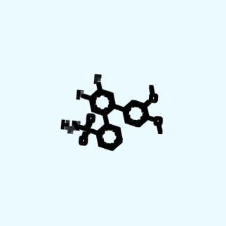 COc1ccc(-c2cc(F)c(F)cc2-c2ccccc2S(N)(=O)=O)cc1OC